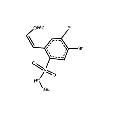 CO/C=C\c1cc(F)c(Br)cc1S(=O)(=O)NC(C)(C)C